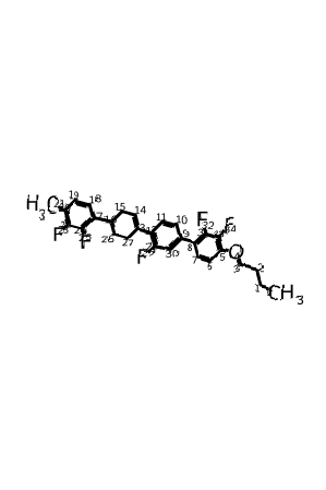 CCCCOc1ccc(-c2ccc(C3=CCC(c4ccc(C)c(F)c4F)CC3)c(F)c2)c(F)c1F